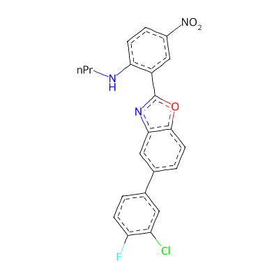 CCCNc1ccc([N+](=O)[O-])cc1-c1nc2cc(-c3ccc(F)c(Cl)c3)ccc2o1